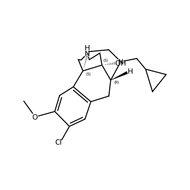 COc1cc2c(cc1Cl)C[C@H]1N(CC3CC3)CC[C@@]23CCNCC[C@@]13O